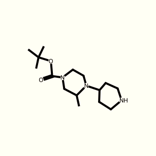 CC1CN(C(=O)OC(C)(C)C)CCN1C1CCNCC1